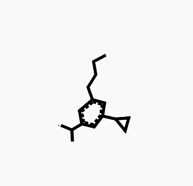 [CH2]C(C)c1cc(CCCC)cc(C2CC2)c1